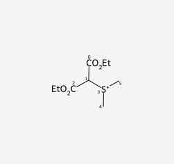 CCOC(=O)C(C(=O)OCC)[S+](C)C